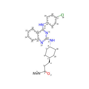 CNC(=O)CC[C@H]1CC[C@H](Nc2nc(Nc3ccc(Cl)cc3)c3ccccc3n2)CC1